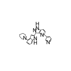 c1cncc(-c2ccc3[nH]nc(-c4cc5c(N6CCCCC6)cccc5[nH]4)c3n2)c1